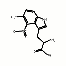 Cc1ccc2[nH]cc(CC(N)C(=O)O)c2c1[N+](=O)[O-]